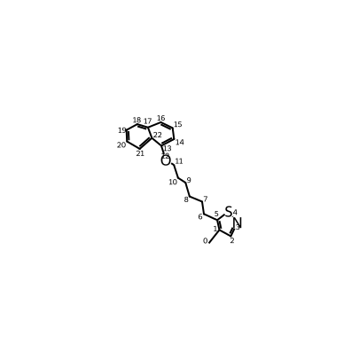 Cc1cnsc1CCCCCCOc1cccc2ccccc12